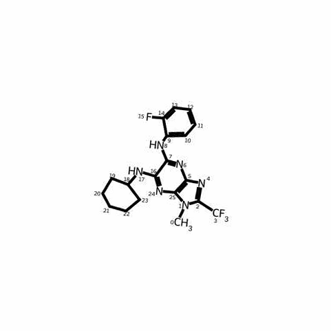 Cn1c(C(F)(F)F)nc2nc(Nc3ccccc3F)c(NC3CCCCC3)nc21